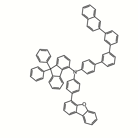 c1ccc(C2(c3ccccc3)c3ccccc3-c3c(N(c4ccc(-c5cccc(-c6cccc(-c7ccc8ccccc8c7)c6)c5)cc4)c4ccc(-c5cccc6c5oc5ccccc56)cc4)cccc32)cc1